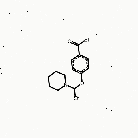 CCC(=O)c1ccc(OC(CC)N2CCCCC2)cc1